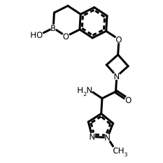 Cn1cc(C(N)C(=O)N2CC(Oc3ccc4c(c3)OB(O)CC4)C2)cn1